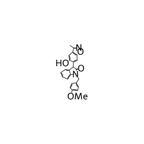 COc1ccc(CN2C(=O)C(c3cc4onc(C)c4cc3O)c3ccccc32)cc1